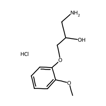 COc1ccccc1OCC(O)CN.Cl